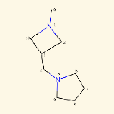 CN1CC(CN2CCCC2)C1